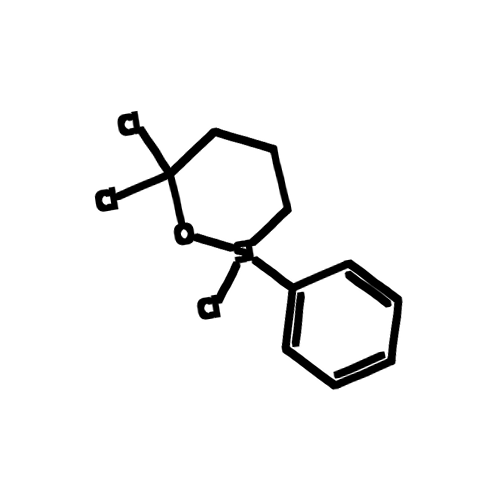 ClC1(Cl)CCC[Si](Cl)(c2ccccc2)O1